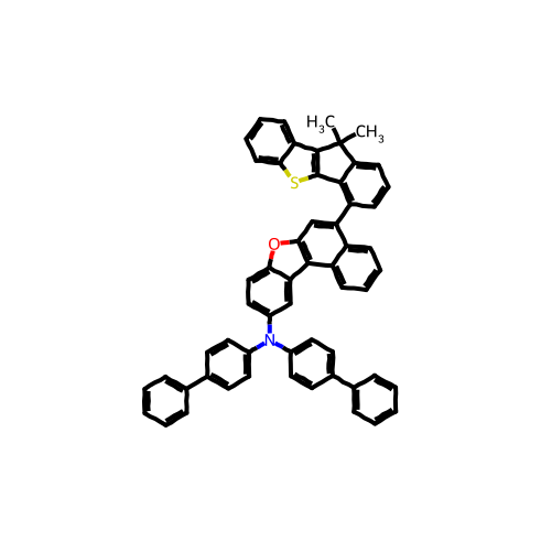 CC1(C)c2cccc(-c3cc4oc5ccc(N(c6ccc(-c7ccccc7)cc6)c6ccc(-c7ccccc7)cc6)cc5c4c4ccccc34)c2-c2sc3ccccc3c21